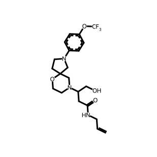 C=CCNC(=O)CC(CO)N1CCOC2(CCN(c3ccc(OC(F)(F)F)cc3)C2)C1